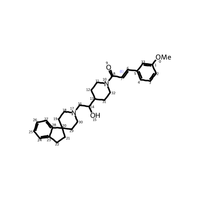 COc1cccc(/C=C/C(=O)N2CCC(C(O)CN3CCC4(CCc5ccccc54)CC3)CC2)c1